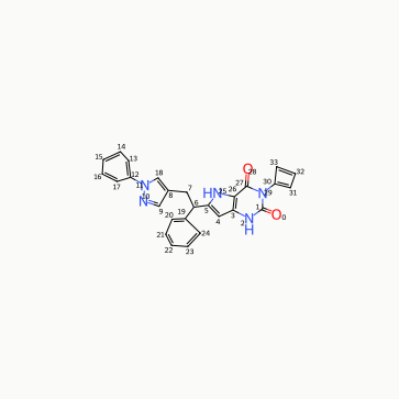 O=c1[nH]c2cc(C(Cc3cnn(-c4ccccc4)c3)c3ccccc3)[nH]c2c(=O)n1C1=CC=C1